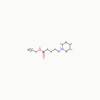 CCOC(=O)CCCCN1CC[CH]CC1